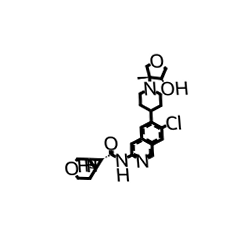 C[C@@]1(N2CCC(c3cc4cc(NC(=O)[C@H]5[C@@H]6COCC[C@@H]65)ncc4cc3Cl)CC2)COC[C@@H]1O